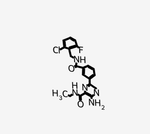 CCNC(=O)c1nc(-c2cccc(C(=O)NCc3c(F)cccc3Cl)c2)cnc1N